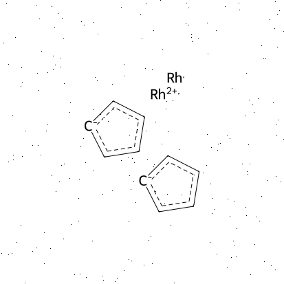 [Rh+2].[Rh].c1cc[cH-]c1.c1cc[cH-]c1